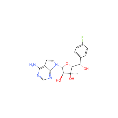 C[C@@]1(O)[C@@H]([C@@H](O)c2ccc(F)cc2)O[C@@H](n2ccc3c(N)ncnc32)[C@@H]1O